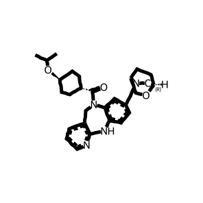 CC(C)O[C@H]1CC[C@H](C(=O)N2Cc3cccnc3Nc3ccc(N4C[C@H]5CCC4CO5)cc32)CC1